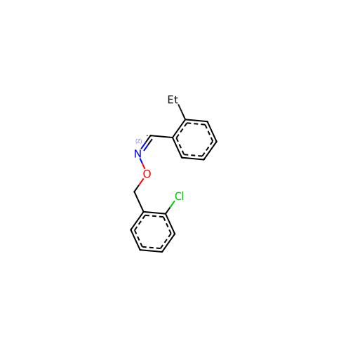 CCc1ccccc1/[C]=N\OCc1ccccc1Cl